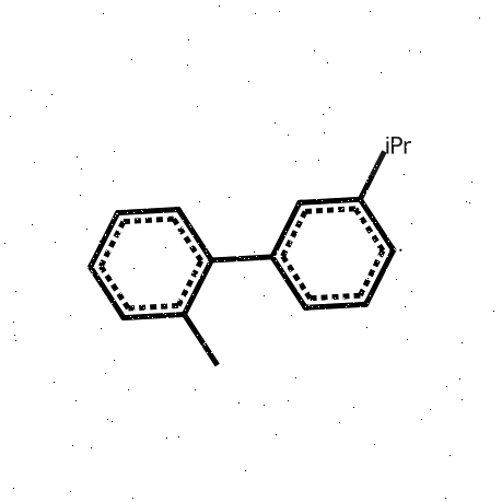 Cc1ccccc1-c1cc[c]c(C(C)C)c1